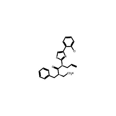 C=CCN(C(=O)[C@@H](CC(=O)O)Cc1ccccc1)c1nc(-c2ccccc2Cl)cs1